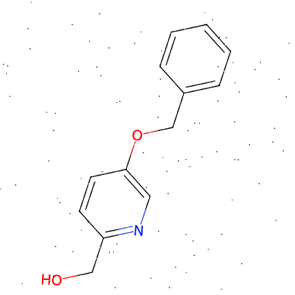 OCc1ccc(OCc2ccccc2)cn1